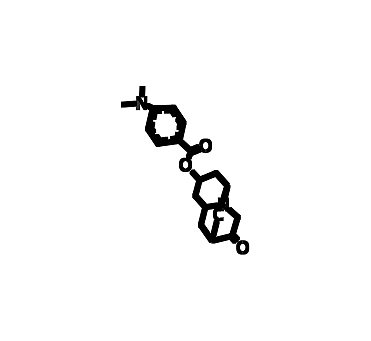 CN(C)c1ccc(C(=O)OC2CC3CC4CC(C2)N3CC4=O)cc1